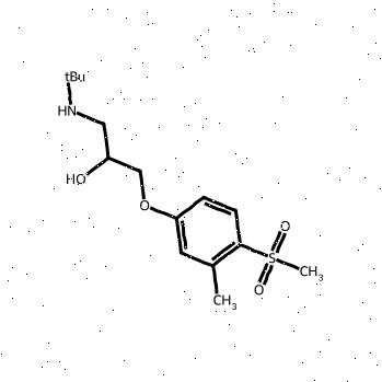 Cc1cc(OCC(O)CNC(C)(C)C)ccc1S(C)(=O)=O